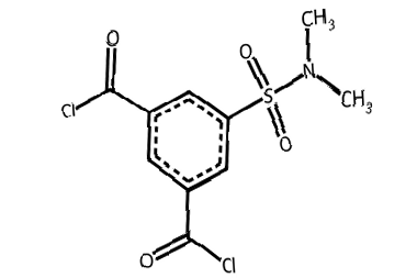 CN(C)S(=O)(=O)c1cc(C(=O)Cl)cc(C(=O)Cl)c1